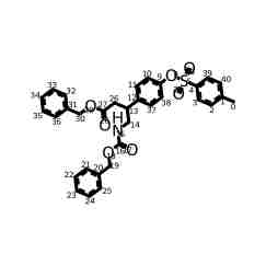 Cc1ccc(S(=O)(=O)Oc2ccc(C(CNC(=O)OCc3ccccc3)CC(=O)OCc3ccccc3)cc2)cc1